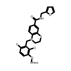 CCCCCOc1ccc(F)c(CN2CCSc3cc(C(=O)NCc4ccco4)ccc32)c1Cl